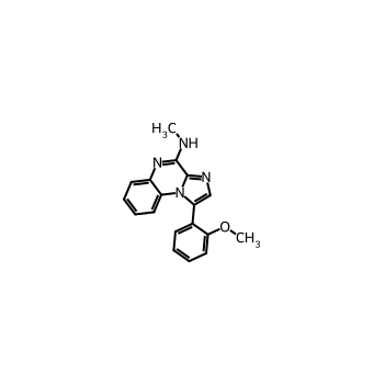 CNc1nc2ccccc2n2c(-c3ccccc3OC)cnc12